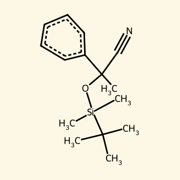 CC(C#N)(O[Si](C)(C)C(C)(C)C)c1ccccc1